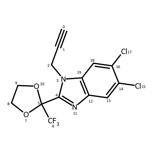 C#CCn1c(C2(C(F)(F)F)OCCO2)nc2cc(Cl)c(Cl)cc21